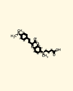 CN(C)c1ccc(/C=C/c2nc3ccc(N(C)CCCC(=O)O)cc3oc2=O)cc1